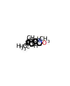 C[C@@H]1C[C@H](C)[C@@]2(C)CC[C@H]3[C@@H](CC[C@H]4N(C)C(=O)CC[C@]34C)[C@H]12